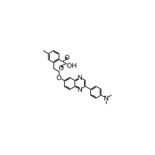 Cc1ccc(S(=O)(=O)O)c(CCOc2ccc3nc(-c4ccc(N(C)C)cc4)cnc3c2)c1